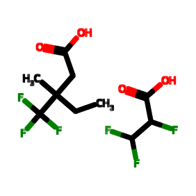 CCC(C)(CC(=O)O)C(F)(F)F.O=C(O)C(F)C(F)F